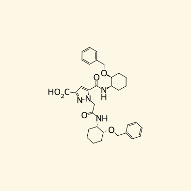 O=C(Cn1nc(C(=O)O)cc1C(=O)N[C@@H]1CCCC[C@@H]1OCc1ccccc1)N[C@H]1CCCC[C@H]1OCc1ccccc1